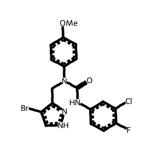 COc1ccc(N(Cc2n[nH]cc2Br)C(=O)Nc2ccc(F)c(Cl)c2)cc1